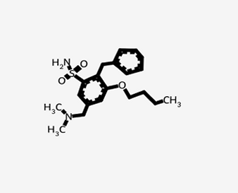 CCCCOc1cc(CN(C)C)cc(S(N)(=O)=O)c1Cc1ccccc1